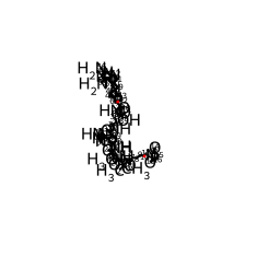 CC(C)[C@H](NC(=O)CCCCCN1C(=O)C=CC1=O)C(=O)N[C@@H](C)C(=O)Nc1ccc(C(=O)NCCC[C@H](NC(=O)c2ccc3c(ccn3Cc3cnc4nc(N)nc(N)c4n3)c2)C(=O)O)c(-c2nn[nH]n2)c1